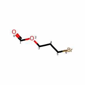 O=COCCCBr